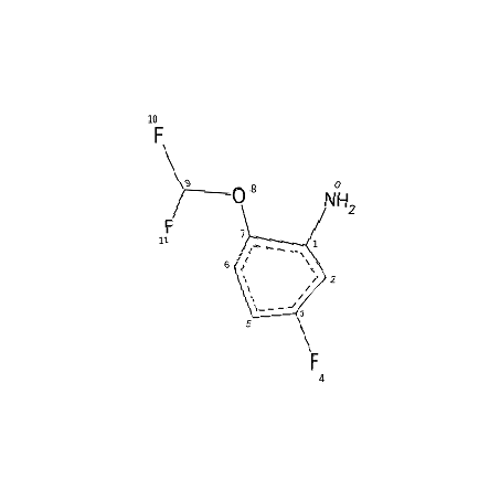 Nc1cc(F)ccc1OC(F)F